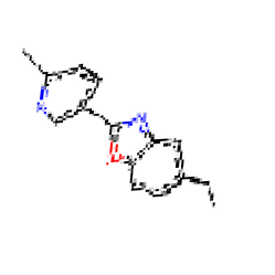 CCc1ccc2oc(-c3ccc(C)nc3)nc2c1